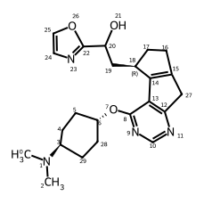 CN(C)[C@H]1CC[C@H](Oc2ncnc3c2C2=C(CC[C@@H]2CC(O)c2ncco2)C3)CC1